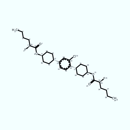 CCCC[C@H](F)C(=O)O[C@H]1CC[C@H](c2ccc([C@H]3CC[C@H](OC(=O)[C@@H](F)CCCC)CC3)c(Cl)c2)CC1